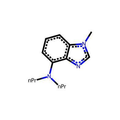 CCCN(CCC)c1cccc2c1ncn2C